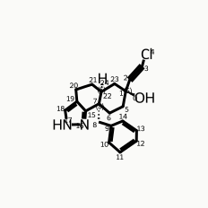 O[C@@]1(C#CCl)CC[C@@]2(Cc3ccccc3)c3n[nH]cc3CC[C@H]2C1